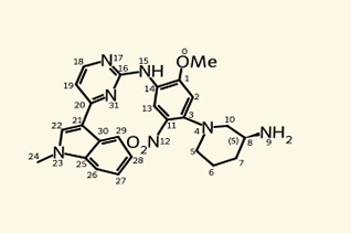 COc1cc(N2CCC[C@H](N)C2)c([N+](=O)[O-])cc1Nc1nccc(-c2cn(C)c3ccccc23)n1